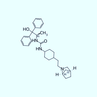 C[C@@H](NC(=O)NC1CCC(CCN2C[C@H]3CC[C@@H]2C3)CC1)C(O)(c1ccccc1)c1ccccc1